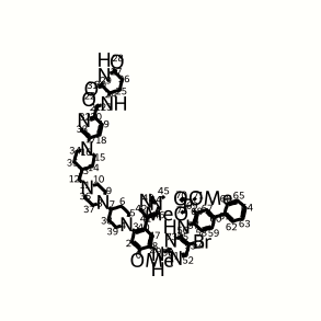 COc1cc(N2CCC(N3CCN(CC4CCN(c5ccc(C(=O)NC6CCC(=O)NC6=O)nc5)CC4)CC3)CC2)c(-c2cnn(C)c2)cc1Nc1ncc(Br)c(Nc2ccc(-c3ccccc3)cc2P(=O)(OC)OC)n1